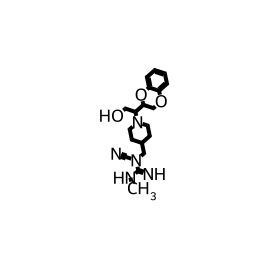 CNC(=N)N(C#N)CC1CCN(C(CO)C2COc3ccccc3O2)CC1